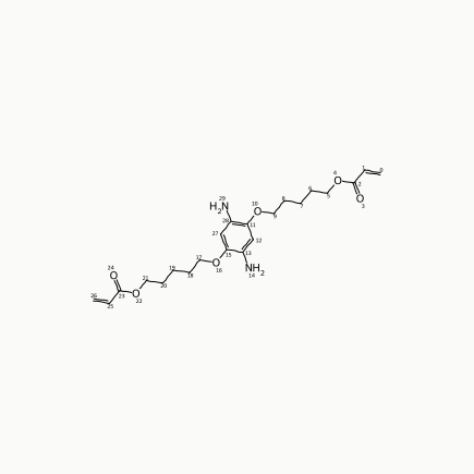 C=CC(=O)OCCCCCOc1cc(N)c(OCCCCCOC(=O)C=C)cc1N